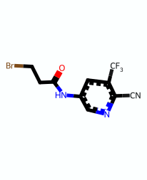 N#Cc1ncc(NC(=O)CCBr)cc1C(F)(F)F